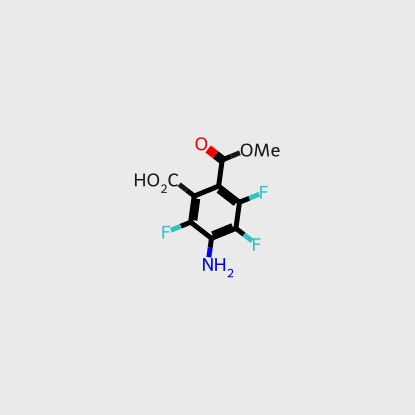 COC(=O)c1c(F)c(F)c(N)c(F)c1C(=O)O